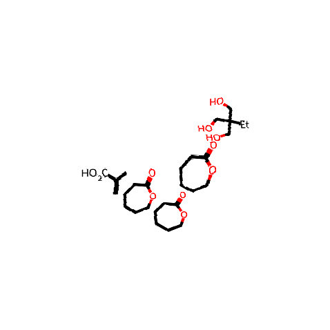 C=C(C)C(=O)O.CCC(CO)(CO)CO.O=C1CCCCCO1.O=C1CCCCCO1.O=C1CCCCCO1